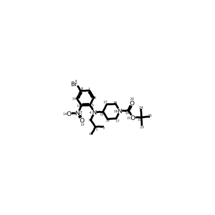 CC(C)CN(c1ccc(Br)cc1[N+](=O)[O-])C1CCN(C(=O)OC(C)(C)C)CC1